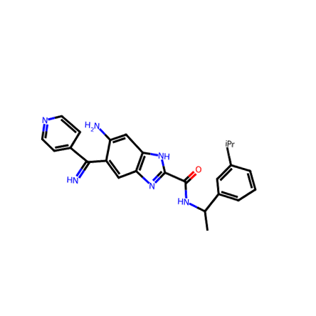 CC(C)c1cccc(C(C)NC(=O)c2nc3cc(C(=N)c4ccncc4)c(N)cc3[nH]2)c1